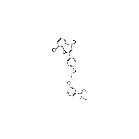 COC(=O)c1cccc(OCCOc2ccc(-c3cc(=O)c4cccc(Cl)c4o3)cc2)c1